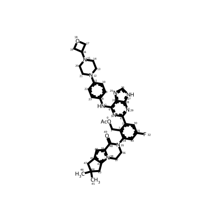 CC(=O)OCc1c(-c2nc(Nc3ccc(N4CCN(C5COC5)CC4)cc3)c3nc[nH]c3n2)cc(F)cc1N1CCn2c(cc3c2CC(C)(C)C3)C1=O